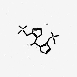 C[Si](C)(C)CC1=C(C([SiH3])C2=C(C[Si](C)(C)C)C=CC2)CC=C1.[LiH]